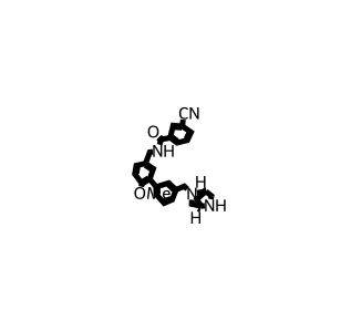 COc1ccc(CNC(=O)c2cccc(C#N)c2)cc1-c1cccc(CN2C[C@@H]3C[C@H]2CN3)c1